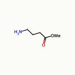 COC(=O)CC[CH]N